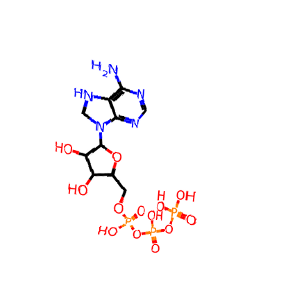 Nc1ncnc2c1NCN2C1OC(COP(=O)(O)OP(=O)(O)OP(=O)(O)O)C(O)C1O